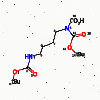 CC(C)(C)OC(=O)NCCCCN(C(=O)O)C(=O)OC(C)(C)C